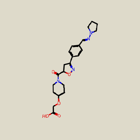 O=C(O)COC1CCN(C(=O)C2CC(c3ccc(/C=N/N4CCCC4)cc3)=NO2)CC1